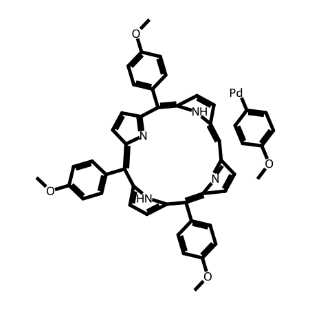 COc1cc[c]([Pd])cc1.COc1ccc(-c2c3nc(c(-c4ccc(OC)cc4)c4ccc([nH]4)c(-c4ccc(OC)cc4)c4nc(cc5ccc2[nH]5)C=C4)C=C3)cc1